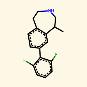 CC1CNCCc2ccc(-c3c(F)cccc3F)cc21